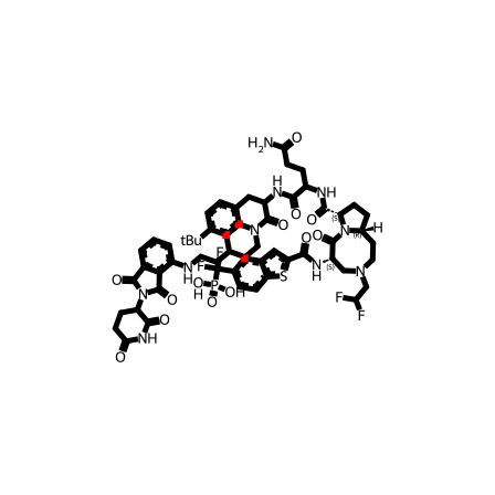 CC(C)(C)c1ccc(CC(NC(=O)C(CCC(N)=O)NC(=O)[C@@H]2CC[C@@H]3CCN(CC(F)F)C[C@H](NC(=O)c4cc5cc(C(F)(F)P(=O)(O)O)ccc5s4)C(=O)N32)C(=O)N2CCC(CCNc3cccc4c3C(=O)N(C3CCC(=O)NC3=O)C4=O)CC2)cc1